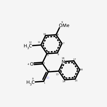 C/C=C(\C(=O)c1ccc(OC)cc1C)c1ccccn1